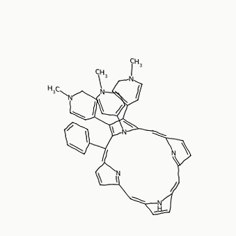 CN1C=CC(c2c(C3=CCN(C)C=C3)c3c(-c4ccccc4)c4nc(cc5ccc(cc6nc(cc2n3C2=CCN(C)C=C2)C=C6)[nH]5)C=C4)=CC1